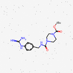 CC(C)(C)OC(=O)N1CCN(C(=O)NCc2ccc(NC(=N)N)cc2)CC1